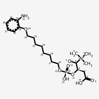 C[N+](C)(C)C([O-])[C@@H](CC(=O)O)OP(=O)(O)OCCCCCCCCOc1ccccc1N